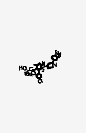 Cc1cc2nc(-c3ccnc(-c4ccc5c(cnn5C)c4)c3)sc2c(-c2ccc(Cl)cc2)c1C(OC(C)(C)C)C(=O)O